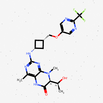 Cc1nc(N[C@H]2C[C@@H](COc3cnc(C(F)(F)F)nc3)C2)nc2c1NC(=O)[C@H]([C@H](C)O)N2C